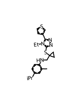 CCn1c(SC2(CNc3ccc(C(C)C)cc3C)CC2)nnc1-c1ccsc1